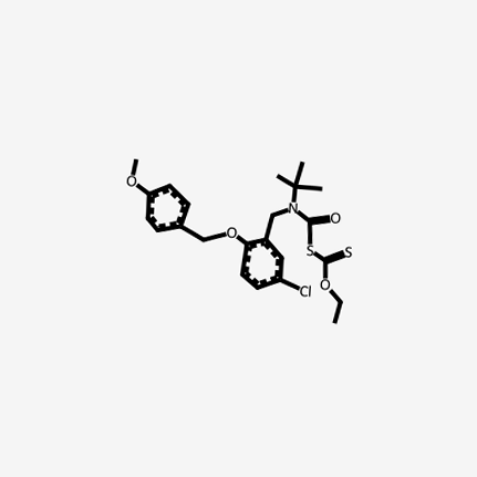 CCOC(=S)SC(=O)N(Cc1cc(Cl)ccc1OCc1ccc(OC)cc1)C(C)(C)C